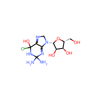 NC1(N)N=C2C(=NCN2[C@@H]2O[C@H](CO)[C@@H](O)[C@H]2O)C(O)(Cl)N1